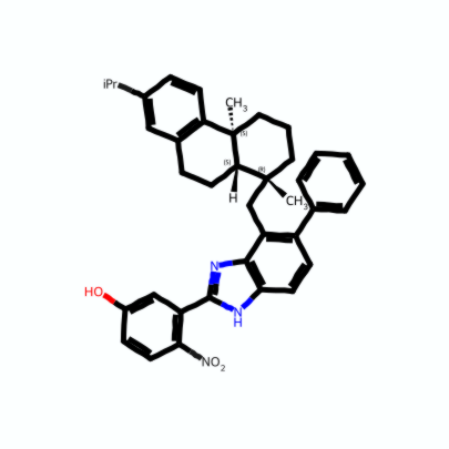 CC(C)c1ccc2c(c1)CC[C@H]1[C@@](C)(Cc3c(-c4ccccc4)ccc4[nH]c(-c5cc(O)ccc5[N+](=O)[O-])nc34)CCC[C@]21C